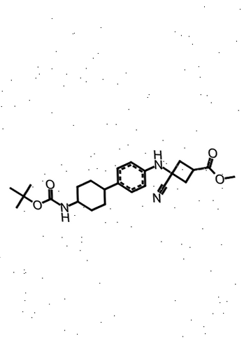 COC(=O)C1CC(C#N)(Nc2ccc(C3CCC(NC(=O)OC(C)(C)C)CC3)cc2)C1